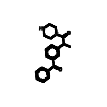 CC(C(=O)N1CCNCC1)c1cccc(C(=O)c2ccccc2)c1